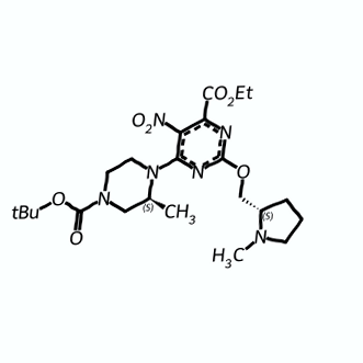 CCOC(=O)c1nc(OC[C@@H]2CCCN2C)nc(N2CCN(C(=O)OC(C)(C)C)C[C@@H]2C)c1[N+](=O)[O-]